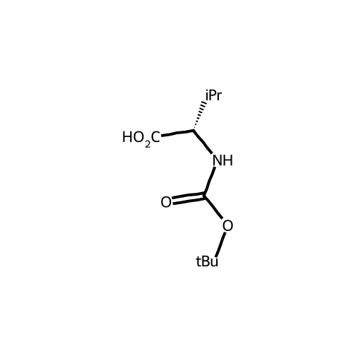 CC(C)[C@H](NC(=O)OC(C)(C)C)C(O)=[18O]